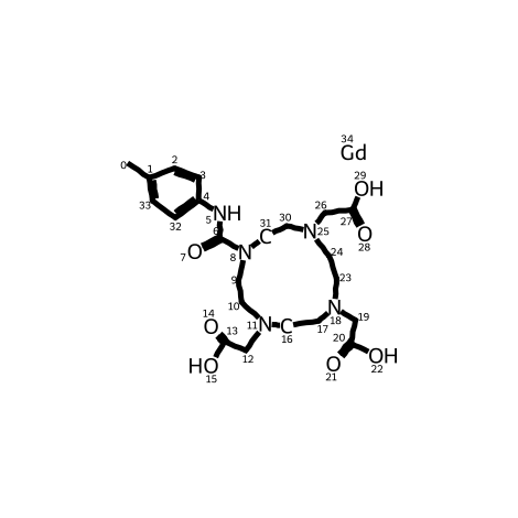 Cc1ccc(NC(=O)N2CCN(CC(=O)O)CCN(CC(=O)O)CCN(CC(=O)O)CC2)cc1.[Gd]